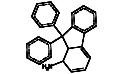 NC1C=CC=C2c3ccccc3C(c3ccccc3)(c3ccccc3)C21